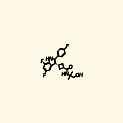 CC(C)(CO)NC(=O)[C@H]1C[C@H](c2c(-c3ccc(F)cc3)[nH]c3c(F)cc(F)cc32)C1